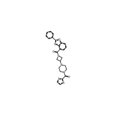 O=C(c1nccs1)N1CCN(C2CN(C(=O)c3cccc4oc(-c5ccccc5)nc34)C2)CC1